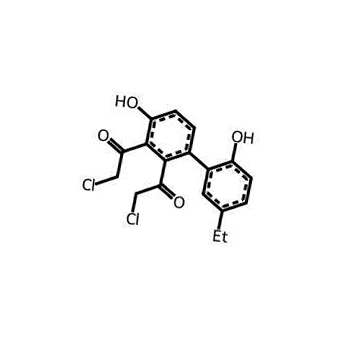 CCc1ccc(O)c(-c2ccc(O)c(C(=O)CCl)c2C(=O)CCl)c1